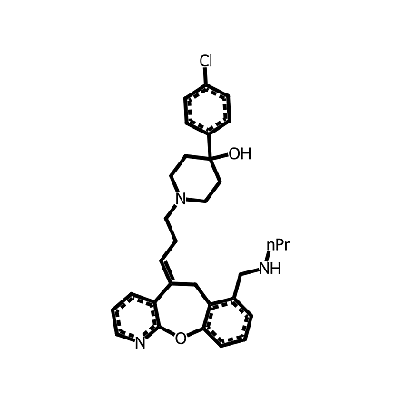 CCCNCc1cccc2c1CC(=CCCN1CCC(O)(c3ccc(Cl)cc3)CC1)c1cccnc1O2